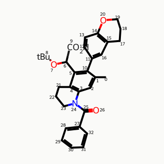 Cc1cc2c(c(C(OC(C)(C)C)C(=O)O)c1-c1ccc3c(c1)CCCO3)CCCN2C(=O)c1ccccc1